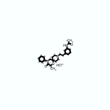 CC(=O)Nc1cccc(CCN2CCC3(CC2)CN(c2ccccc2)C(=O)[C@@H](C)O3)c1.Cl